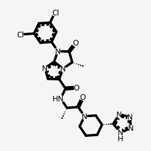 C[C@H](NC(=O)c1cnc2n1[C@@H](C)C(=O)N2c1cc(Cl)cc(Cl)c1)C(=O)N1CCC[C@@H](c2nnn[nH]2)C1